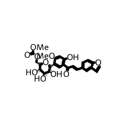 COC(=O)OC[C@H]1O[C@@H](c2cc(C(=O)C=Cc3ccc4occc4c3)c(O)cc2OC)[C@H](O)[C@@H](O)[C@@H]1O